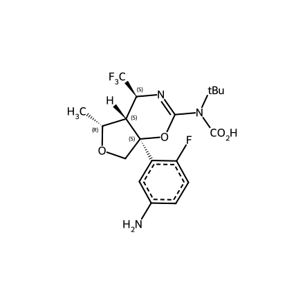 C[C@H]1OC[C@]2(c3cc(N)ccc3F)OC(N(C(=O)O)C(C)(C)C)=N[C@H](C(F)(F)F)[C@@H]12